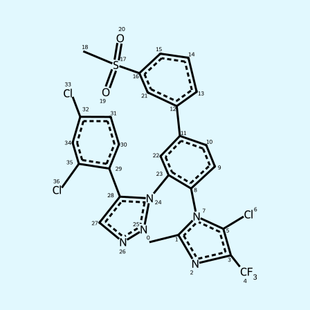 Cc1nc(C(F)(F)F)c(Cl)n1-c1ccc(-c2cccc(S(C)(=O)=O)c2)cc1-n1nncc1-c1ccc(Cl)cc1Cl